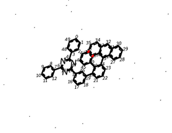 c1ccc(-c2nc(-c3ccccc3)nc(-c3cccc(-c4cccc(-c5c6ccccc6cc6ccccc56)c4-c4ccccc4)c3)n2)cc1